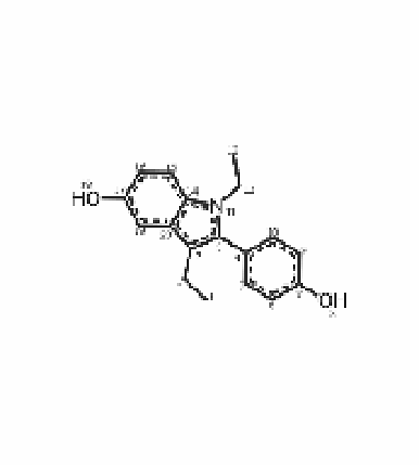 CCc1c(-c2ccc(O)cc2)n(CC)c2ccc(O)cc12